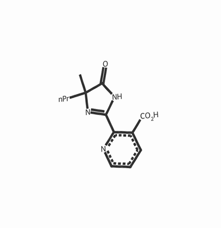 CCCC1(C)N=C(c2ncccc2C(=O)O)NC1=O